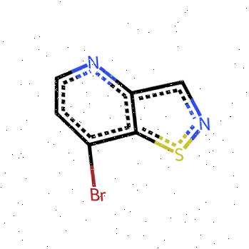 Brc1ccnc2cnsc12